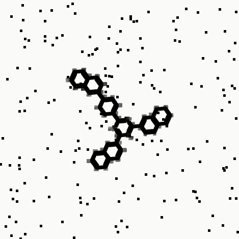 C1=Cc2ccc(-c3nc(C4=CC=C(c5ccc6ccccc6c5)CC4)nc(-c4ccc5ccccc5c4)n3)cc2CC1